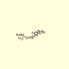 CCOc1nc2cc(F)c(OC[C@]3(F)C[C@@H](OC[C@H](C)NC(C)=O)C3)nc2s1